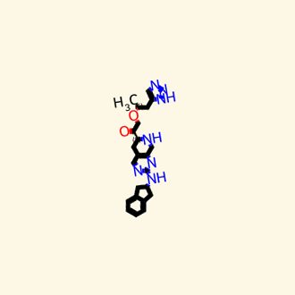 C[C@@H](Cc1cnn[nH]1)OCC(=O)[C@@H]1Cc2cnc(NC3Cc4ccccc4C3)nc2CN1